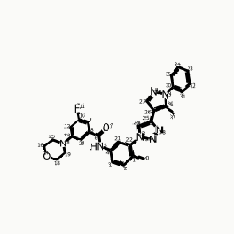 Cc1ccc(NC(=O)c2cc(F)cc(N3CCOCC3)c2)cc1-n1cc(-c2cnn(-c3ccccc3)c2C)nn1